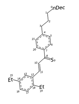 CCCCCCCCCCCCCc1ccc(C(=S)C=Cc2cc(CC)ccc2CC)cc1